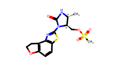 C[C@H]1NC(=O)N(c2nc3c4c(ccc3s2)OCC4)[C@@H]1COS(C)(=O)=O